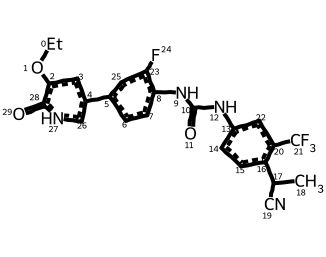 CCOc1cc(-c2ccc(NC(=O)Nc3ccc(C(C)C#N)c(C(F)(F)F)c3)c(F)c2)c[nH]c1=O